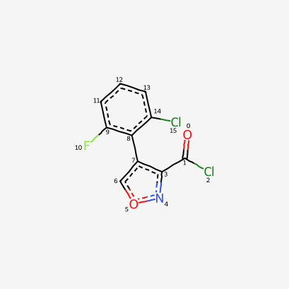 O=C(Cl)c1nocc1-c1c(F)cccc1Cl